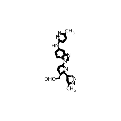 Cc1cc(-c2nc(-n3cnc4cc(Nc5ccc(C)nn5)ccc43)ccc2CC=O)cnn1